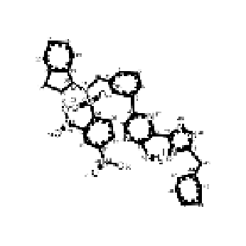 Nc1ncc(-c2cccc(CN([C@H]3CCc4ccccc43)S(=O)(=O)c3ccc([N+](=O)[O-])cc3[N+](=O)[O-])c2)nc1-c1nnc(Cc2ccccc2)[nH]1